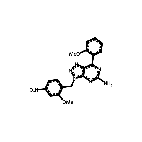 COc1cc([N+](=O)[O-])ccc1Cn1nnc2c(-c3ccccc3OC)nc(N)nc21